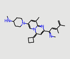 C=C(C)/C(C)=C/C(=N\C)C1=CC(=C2CCC2)N2C=C(N3CCC(NC)CC3)C=C(C)C2=N1